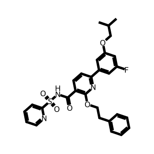 CC(C)COc1cc(F)cc(-c2ccc(C(=O)NS(=O)(=O)c3ccccn3)c(OCCc3ccccc3)n2)c1